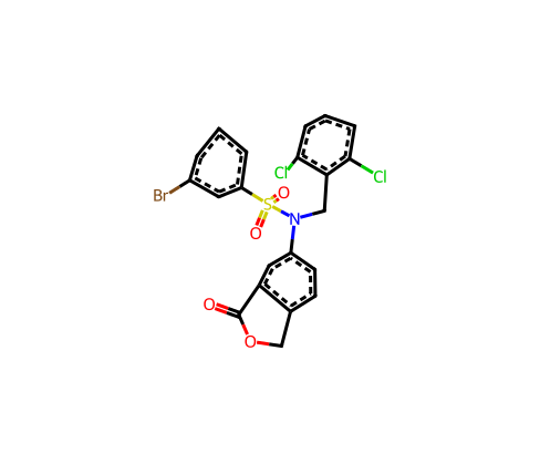 O=C1OCc2ccc(N(Cc3c(Cl)cccc3Cl)S(=O)(=O)c3cccc(Br)c3)cc21